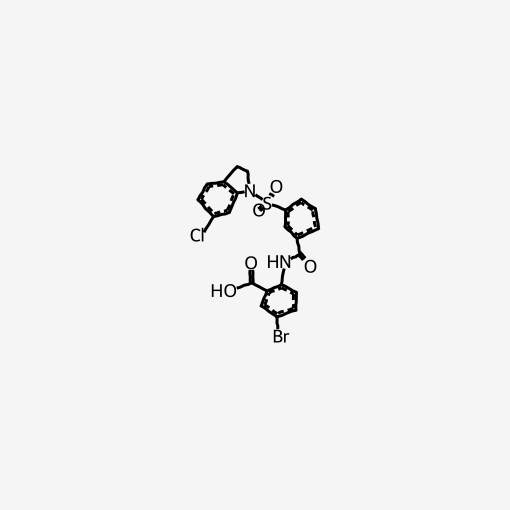 O=C(Nc1ccc(Br)cc1C(=O)O)c1cccc(S(=O)(=O)N2CCc3ccc(Cl)cc32)c1